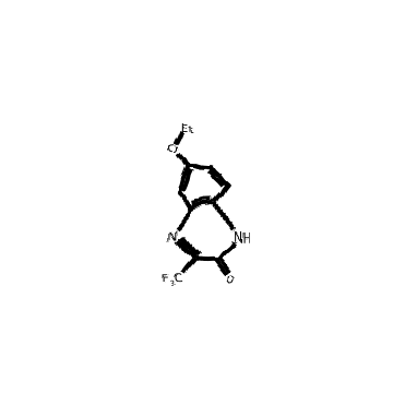 CCOc1ccc2[nH]c(=O)c(C(F)(F)F)nc2c1